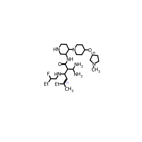 CC/C(C)=C\C(NCC(F)CC)C(C(=O)NC1CNCCC1N1CCC(O[C@@H]2CCN(C)C2)CC1)C(N)N